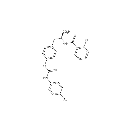 CC(=O)c1ccc(NC(=O)Oc2ccc(C[C@H](NC(=O)c3ccccc3Cl)C(=O)O)cc2)cc1